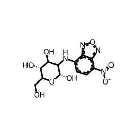 O=[N+]([O-])c1ccc(NC2C(O)[C@@H](O)C(CO)O[C@H]2O)c2nonc12